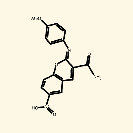 COc1ccc(/N=c2\oc3ccc([N+](=O)O)cc3cc2C(N)=O)cc1